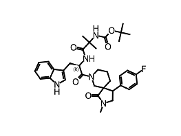 CN1CC(c2ccc(F)cc2)C2(CCCN(C(=O)[C@@H](Cc3c[nH]c4ccccc34)NC(=O)C(C)(C)NC(=O)OC(C)(C)C)C2)C1=O